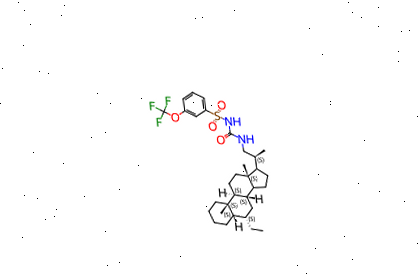 CC[C@H]1C[C@H]2C3CCC([C@H](C)CNC(=O)NS(=O)(=O)c4cccc(OC(F)(F)F)c4)[C@@]3(C)CC[C@@H]2[C@@]2(C)CCCC[C@@H]12